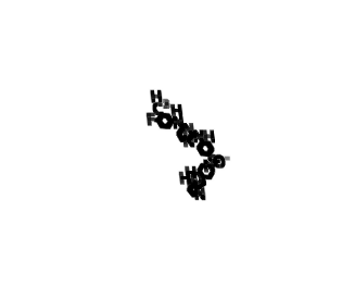 Cc1cc(Nc2ccnc(Nc3ccc([S+]([O-])N4CCC(O)(Cc5ncc[nH]5)CC4)cc3)n2)ccc1F